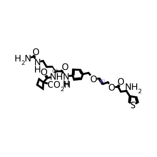 NC(=O)NCCC[C@H](NC(=O)C1(C(=O)O)CCC1)C(=O)Nc1ccc(CO/C=C/COC(=O)CC(N)c2ccsc2)cc1